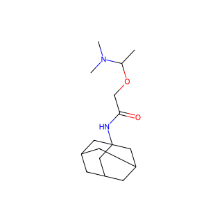 CC(OCC(=O)NC12CC3CC(CC(C3)C1)C2)N(C)C